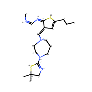 CCCC1=CC(=C\N2CCCN(C3=NCC(C)(C)S3)CC2)/C(=N\C=N/C)S1